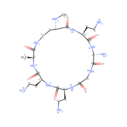 CN[C@H]1CCNC(=O)[C@H](C)NC(=O)[C@H](CCN)NC(=O)[C@H](CCN)NC(=O)CNC(=O)[C@@H](N)NC(=O)[C@H](CCN)NC1=O